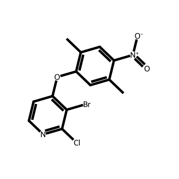 Cc1cc([N+](=O)[O-])c(C)cc1Oc1ccnc(Cl)c1Br